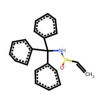 C=C[S+]([O-])NC(c1ccccc1)(c1ccccc1)c1ccccc1